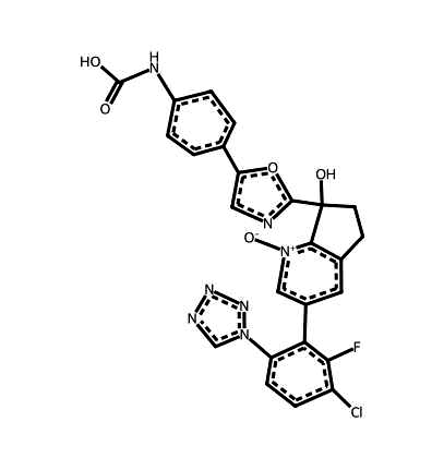 O=C(O)Nc1ccc(-c2cnc(C3(O)CCc4cc(-c5c(-n6cnnn6)ccc(Cl)c5F)c[n+]([O-])c43)o2)cc1